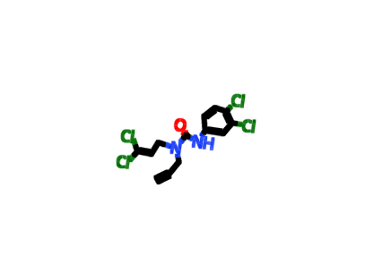 C#CCN(CC=C(Cl)Cl)C(=O)Nc1ccc(Cl)c(Cl)c1